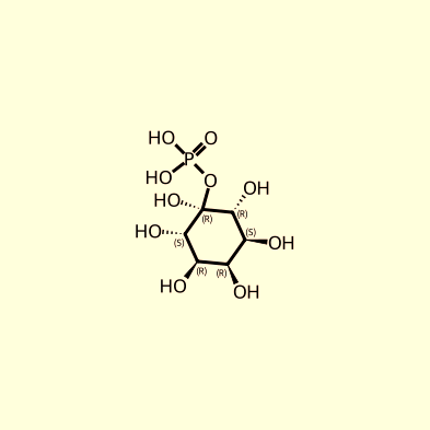 O=P(O)(O)O[C@@]1(O)[C@H](O)[C@@H](O)[C@@H](O)[C@@H](O)[C@@H]1O